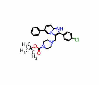 CC(C)(C)OC(=O)N1CCN(CC2=C(c3ccc(Cl)cc3)NC3C=CC(c4ccccc4)=CN23)CC1